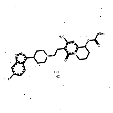 CCCCCCCCCC(=O)OC1CCCn2c1nc(C)c(CCN1CCC(c3noc4cc(F)ccc34)CC1)c2=O.Cl.Cl